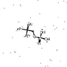 CCCC(CCC)(CCC)COP(=O)(O)O